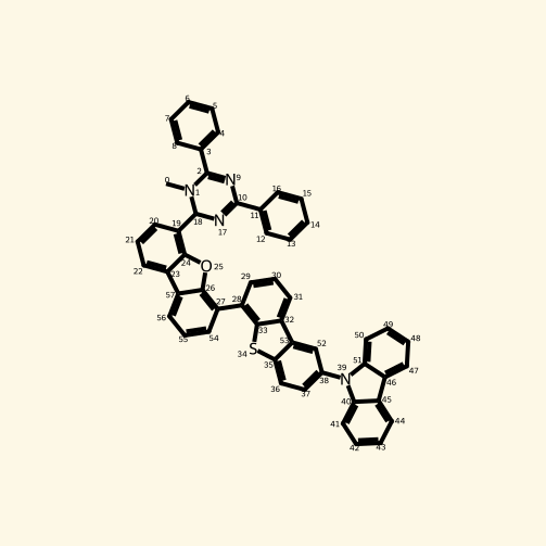 CN1C(c2ccccc2)=NC(c2ccccc2)=NC1c1cccc2c1oc1c(-c3cccc4c3sc3ccc(-n5c6ccccc6c6ccccc65)cc34)cccc12